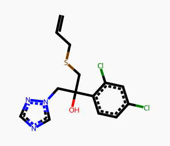 C=CCSCC(O)(Cn1cncn1)c1ccc(Cl)cc1Cl